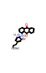 CCCCCCCCCCCCC1=CC(Br)C(N)(Nc2cccc3c2C(=O)c2ccccc2C3=O)C=C1